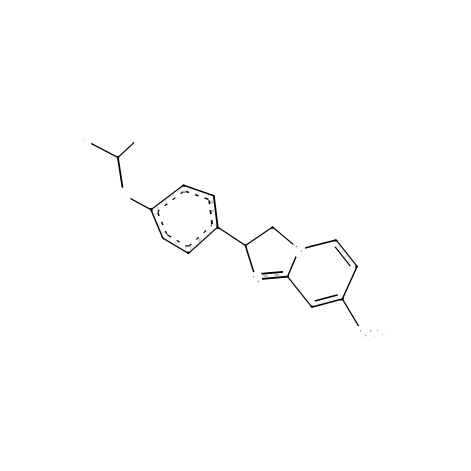 CNC1=CC2=NC(c3ccc(OC(F)F)cc3)CN2C=C1